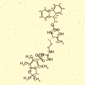 C=C(O)[C@H](CCCNC(=N)NS(=O)(=O)c1c(C)c(C)c2c(c1C)CC(C)(C)O2)NC(=O)OCC1c2ccccc2-c2ccccc21